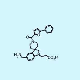 NCc1ccc2c(c1)C1(CCN(C(=O)c3ccc(-c4ccccc4)o3)CC1)CN2CCC(=O)O